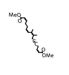 COC(=O)/C=C\C=C=C=C/C(C)=C(C)\C=C/CC/C=C\C(=O)OC